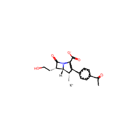 CC(=O)c1ccc(C2=C(C(=O)[O-])N3C(=O)[C@@H](CCO)[C@H]3[C@H]2C)cc1.[K+]